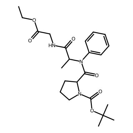 CCOC(=O)CNC(=O)C(C)N(C(=O)C1CCCN1C(=O)OC(C)(C)C)c1ccccc1